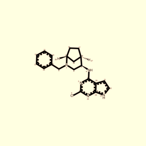 Clc1nc(N[C@H]2CN(Cc3ccccc3)[C@@H]3CC[C@@H]2C3)c2cc[nH]c2n1